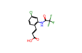 O=C(O)C=Cc1ccc(Cl)cc1NC(=O)C(F)(F)F